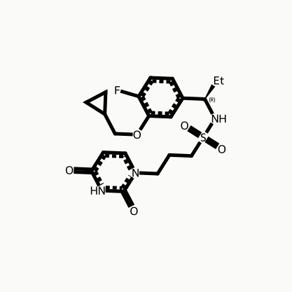 CC[C@@H](NS(=O)(=O)CCCn1ccc(=O)[nH]c1=O)c1ccc(F)c(OCC2CC2)c1